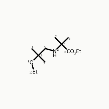 CCOC(=O)C(C)(C)NCC(C)(C)OCC